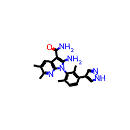 Cc1cc2c(C(N)=O)c(N)n(-c3c(C)ccc(-c4cn[nH]c4)c3C)c2nc1C